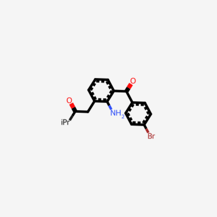 CC(C)C(=O)Cc1cccc(C(=O)c2ccc(Br)cc2)c1N